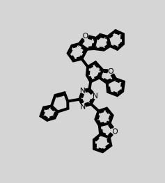 C1=CC(c2nc(-c3ccc4oc5ccccc5c4c3)nc(-c3cc(-c4cccc5oc6cc7ccccc7cc6c45)cc4oc5ccccc5c34)n2)Cc2ccccc21